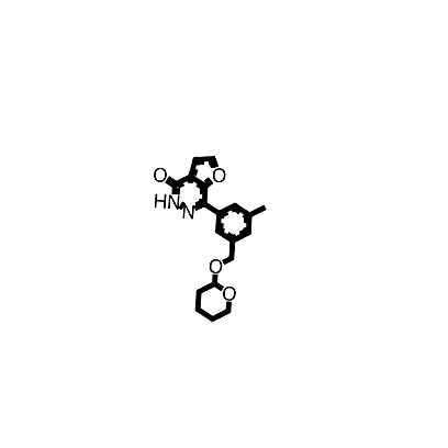 Cc1cc(COC2CCCCO2)cc(-c2n[nH]c(=O)c3ccoc23)c1